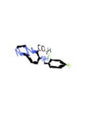 O=C(O)c1c(NCc2ccc(F)cc2F)ccc2nccn12